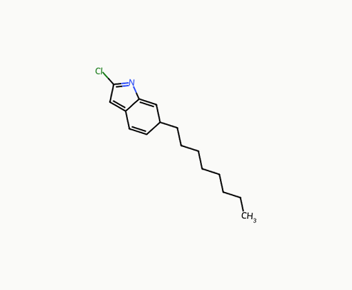 CCCCCCCCC1C=CC2=CC(Cl)=NC2=C1